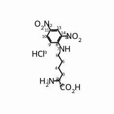 Cl.N[C@@H](CCCCNc1ccc([N+](=O)[O-])cc1[N+](=O)[O-])C(=O)O